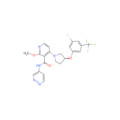 COc1nccc(N2CC[C@H](Oc3cc(F)cc(C(F)(F)F)c3)C2)c1C(=O)Nc1ccnnc1